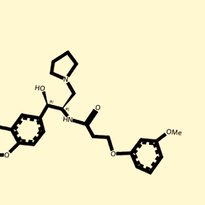 COc1cccc(OCCC(=O)N[C@H](CN2CCCC2)[C@H](O)c2ccc3c(c2)OCCO3)c1